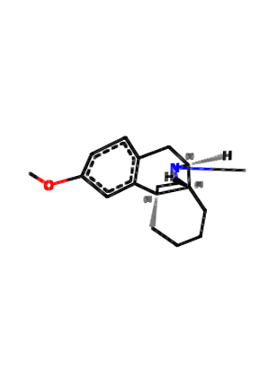 COc1ccc2c(c1)[C@]13CCCC[C@H]1[C@H](C2)N(C)CC3